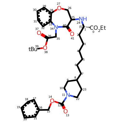 CCOC(=O)[C@H](CCCCCCC1CCN(C(=O)OCc2ccccc2)CC1)NC1COc2ccccc2N(CC(=O)OC(C)(C)C)C1=O